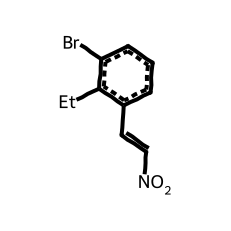 CCc1c(Br)cccc1/C=C/[N+](=O)[O-]